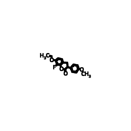 CCOc1ccc2c(c1F)OC(=O)C(c1ccc(OC)cc1)C2